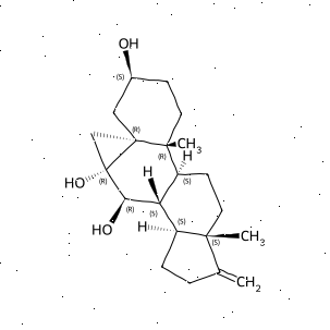 C=C1CC[C@H]2[C@@H]3[C@@H](O)[C@@]4(O)C[C@@]45C[C@@H](O)CC[C@]5(C)[C@H]3CC[C@]12C